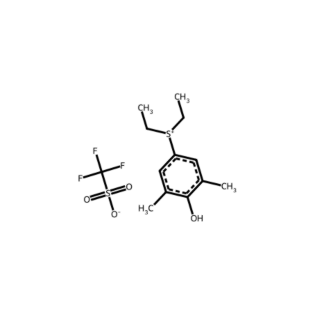 CC[S+](CC)c1cc(C)c(O)c(C)c1.O=S(=O)([O-])C(F)(F)F